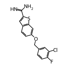 N=C(N)c1cc2ccc(OCc3ccc(F)c(Cl)c3)cc2s1